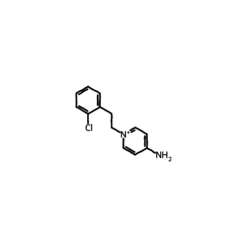 Nc1cc[n+](CCc2ccccc2Cl)cc1